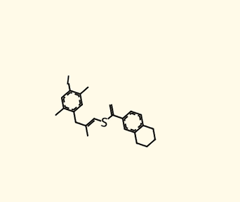 C=C(S/C=C(\C)Cc1cc(C)c(I)cc1C)c1ccc2c(c1)CCCC2